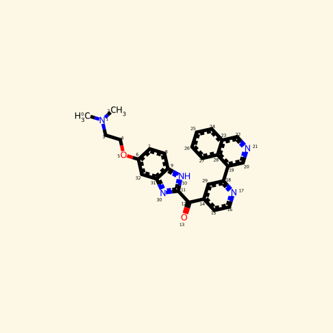 CN(C)CCOc1ccc2[nH]c(C(=O)c3ccnc(-c4cncc5ccccc45)c3)nc2c1